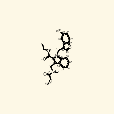 CCOC(=O)c1c(CN(C)C(=O)OC)c2ccccc2n1Cc1csc2ccc(F)cc12